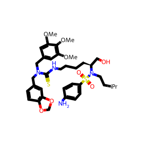 COc1cc(CN(Cc2ccc3c(c2)OCO3)C(=S)NCCCC[C@@H](CO)N(CCC(C)C)S(=O)(=O)c2ccc(N)cc2)cc(OC)c1OC